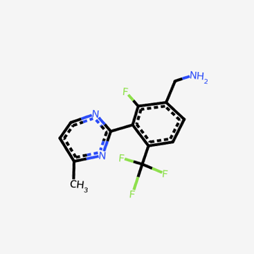 Cc1ccnc(-c2c(C(F)(F)F)ccc(CN)c2F)n1